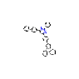 c1ccc(-c2ccc(-c3cc(-c4ccc(-c5ccc6c(c5)-c5ccccc5C65CCCCC5)cc4)nc(-c4ccccc4)n3)cc2)cc1